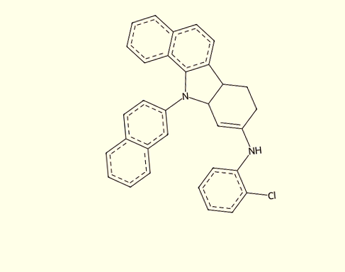 Clc1ccccc1NC1=CC2C(CC1)c1ccc3ccccc3c1N2c1ccc2ccccc2c1